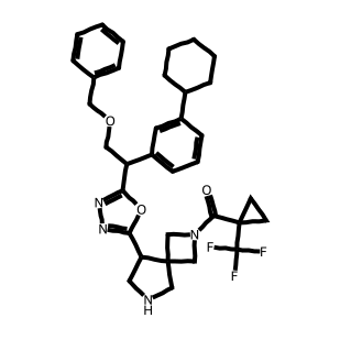 O=C(N1CC2(CNCC2c2nnc(C(COCc3ccccc3)c3cccc(C4CCCCC4)c3)o2)C1)C1(C(F)(F)F)CC1